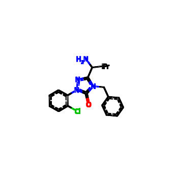 CC(C)C(N)c1nn(-c2ccccc2Cl)c(=O)n1Cc1ccccc1